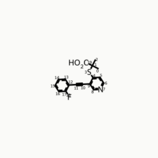 CC(C)(Sc1ccncc1C#Cc1ccccc1F)C(=O)O